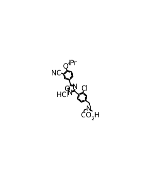 CC(C)Oc1ccc(-c2nc(-c3ccc(CN(C)CC(=O)O)cc3Cl)no2)cc1C#N.Cl